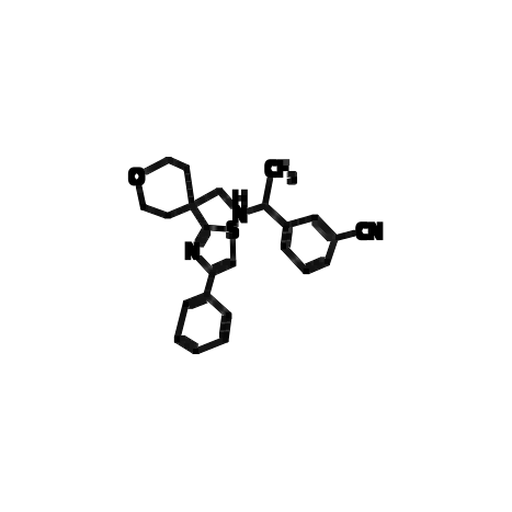 N#Cc1cccc(C(NCC2(c3nc(-c4ccccc4)cs3)CCOCC2)C(F)(F)F)c1